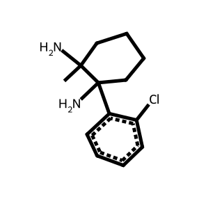 CC1(N)CCCCC1(N)c1ccccc1Cl